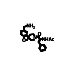 CC(=O)NC(=Cc1ccccc1)C(=O)N1CCC2(CC1)COc1ccc(CN)cc12